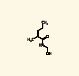 CCC=C(C)C(=O)NCO